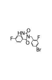 O=c1[nH]c2cc(F)ccc2c(=O)n1Cc1ccc(Br)cc1F